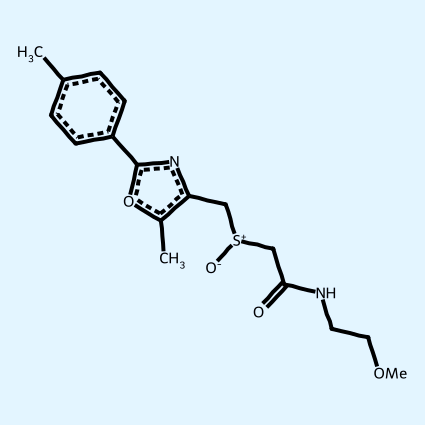 COCCNC(=O)C[S+]([O-])Cc1nc(-c2ccc(C)cc2)oc1C